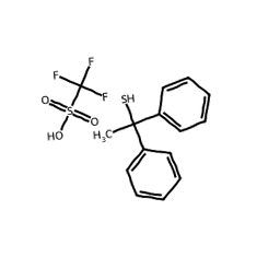 CC(S)(c1ccccc1)c1ccccc1.O=S(=O)(O)C(F)(F)F